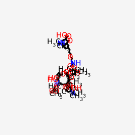 COC(=O)CO/N=C1\[C@H](C)C[C@@](C)(O)[C@H](O[C@@H]2O[C@H](C)C[C@H](N(C)C)[C@H]2O)[C@@H](C)[C@H](O[C@H]2C[C@@](C)(OC)[C@@H](OC(=O)NCCOCCCc3ccc4c(c3)c(=O)c(C(=O)O)cn4N(C)C)[C@H](C)O2)[C@@H](C)C(=O)O[C@@H]2CC[C@]2(O)[C@@H]1O